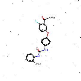 CNC(=O)c1cc(Oc2ccc(NC(=O)Nc3ccccc3OC)cc2)ccc1F